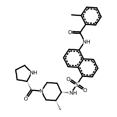 Cc1ccccc1C(=O)Nc1cccc2c(S(=O)(=O)N[C@H]3CCN(C(=O)[C@@H]4CCCN4)C[C@H]3C)cccc12